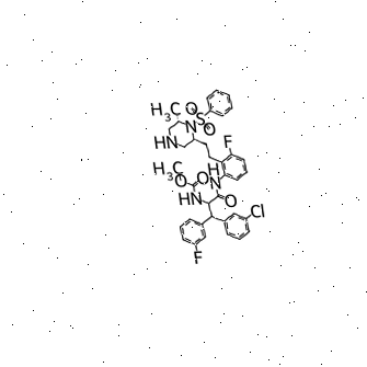 COC(=O)NC(C(=O)Nc1cccc(F)c1CC[C@H]1CNC[C@H](C)N1S(=O)(=O)c1ccccc1)C(c1cccc(F)c1)c1cccc(Cl)c1